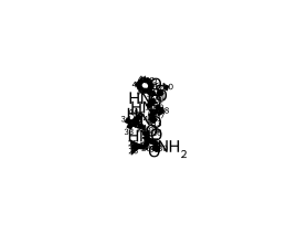 CCS(=O)(=O)CC1(NC(=O)N[C@H](C(=O)N2C[C@H]3C([C@H]2C(=O)NC(CC2CC2)C(=O)C(N)=O)C3(C)C)C(C)(C)C)CCCCC1